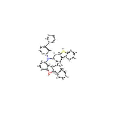 c1ccc(-c2cccc(N(c3ccc4c(c3)sc3ccccc34)c3cccc4oc5c6ccccc6ccc5c34)c2)cc1